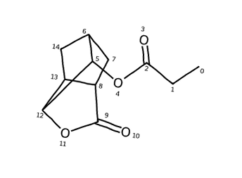 CCC(=O)OC1C2CC3C(=O)OC1C3C2